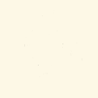 C=C(C)C1CCC(C)=CC1c1c(O)cc(CCCCC)cc1OP(C)(=O)O